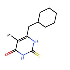 CC(C)c1c(CC2CCCCC2)[nH]c(=S)[nH]c1=O